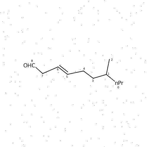 CCCC(C)CCC=CCC=O